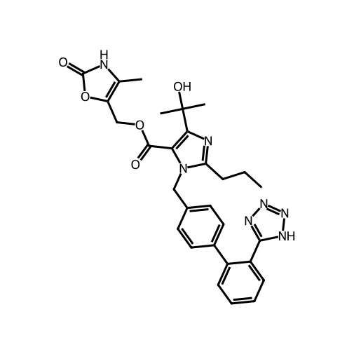 CCCc1nc(C(C)(C)O)c(C(=O)OCc2oc(=O)[nH]c2C)n1Cc1ccc(-c2ccccc2-c2nnn[nH]2)cc1